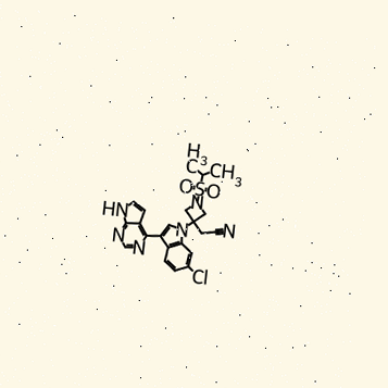 CC(C)S(=O)(=O)N1CC(CC#N)(n2cc(-c3ncnc4[nH]ccc34)c3ccc(Cl)cc32)C1